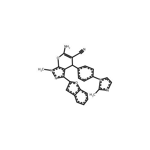 Cc1nccn1-c1ccc(C2C(C#N)=C(N)Oc3c2c(-c2cc4ccccc4o2)nn3C)cc1